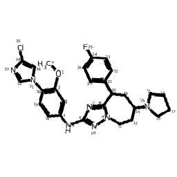 COc1cc(Nc2nc3n(n2)CCC(N2CCCC2)CC3c2ccc(F)cc2)ccc1-n1cnc(Cl)c1